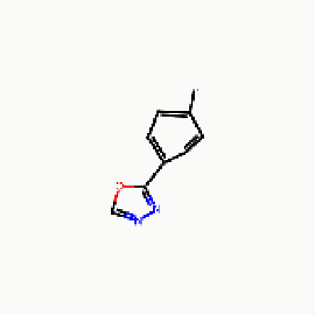 [CH2]c1ccc(-c2nnco2)cc1